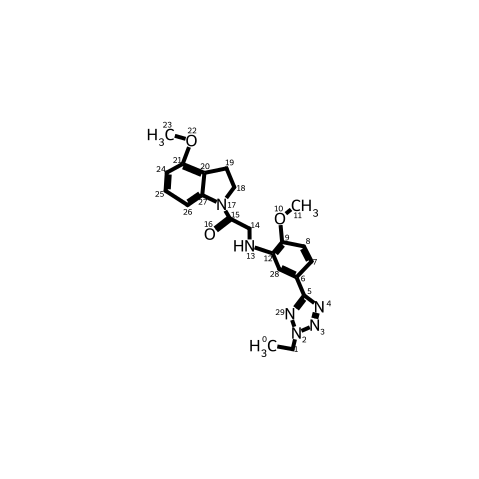 CCn1nnc(-c2ccc(OC)c(NCC(=O)N3CCc4c(OC)cccc43)c2)n1